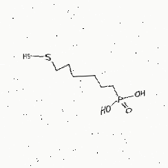 O=P(O)(O)CCCCCCSS